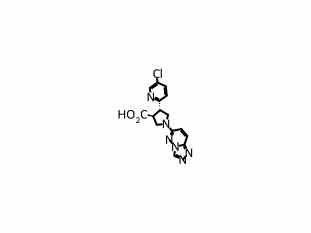 O=C(O)[C@@H]1CN(c2ccc3nncn3n2)C[C@H]1c1ccc(Cl)cn1